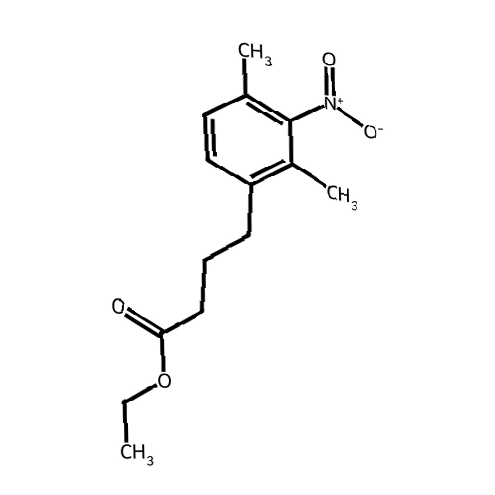 CCOC(=O)CCCc1ccc(C)c([N+](=O)[O-])c1C